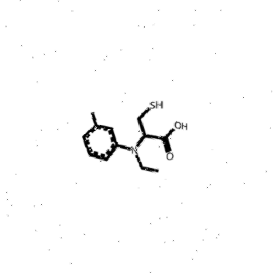 CCN(c1cccc(C)c1)C(CS)C(=O)O